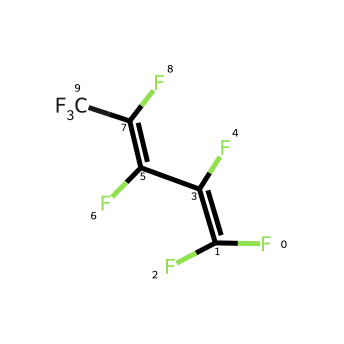 FC(F)=C(F)C(F)=C(F)C(F)(F)F